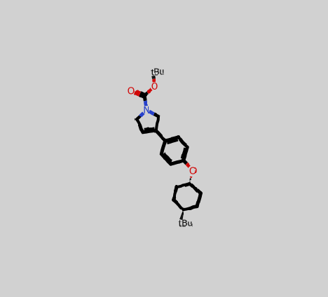 CC(C)(C)OC(=O)N1CC=C(c2ccc(O[C@H]3CC[C@H](C(C)(C)C)CC3)cc2)C1